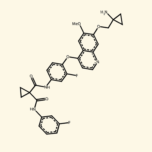 COc1cc2c(Oc3ccc(NC(=O)C4(C(=O)Nc5cccc(F)c5)CC4)cc3F)ccnc2cc1OCC1(N)CC1